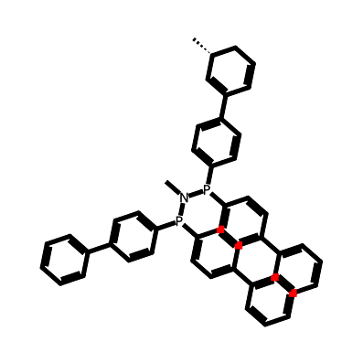 C[C@H]1C=C(c2ccc(P(c3ccc(-c4ccccc4)cc3)N(C)P(c3ccc(-c4ccccc4)cc3)c3ccc(-c4ccccc4)cc3)cc2)C=CC1